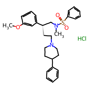 COc1cccc([C@@H](CCN2CCC(c3ccccc3)CC2)CN(C)S(=O)(=O)c2ccccc2)c1.Cl